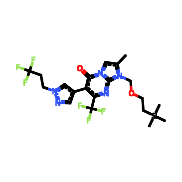 Cc1cn2c(=O)c(-c3cnn(CCC(F)(F)F)c3)c(C(F)(F)F)nc2n1COCC[Si](C)(C)C